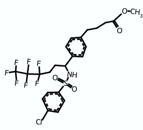 COC(=O)CCCc1ccc(C(CCC(F)(F)C(F)(F)C(F)(F)F)NS(=O)(=O)c2ccc(Cl)cc2)cc1